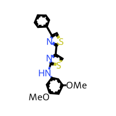 COc1cc(Nc2nc(-c3nc(-c4ccccc4)cs3)cs2)cc(OC)c1